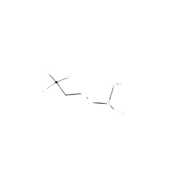 OB(O)OOCC(F)(F)F